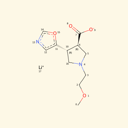 COCCN1C[C@H](C(=O)[O-])[C@@H](c2cnco2)C1.[Li+]